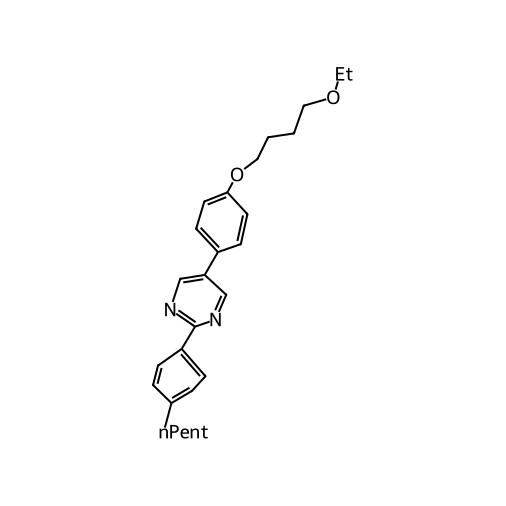 CCCCCc1ccc(-c2ncc(-c3ccc(OCCCCOCC)cc3)cn2)cc1